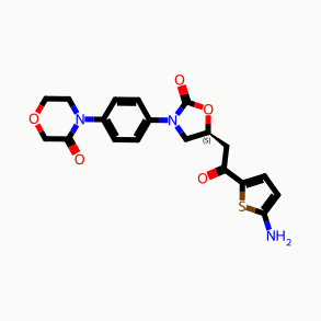 Nc1ccc(C(=O)C[C@H]2CN(c3ccc(N4CCOCC4=O)cc3)C(=O)O2)s1